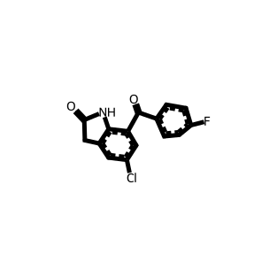 O=C1Cc2cc(Cl)cc(C(=O)c3ccc(F)cc3)c2N1